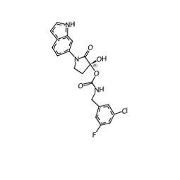 O=C(NCc1cc(F)cc(Cl)c1)O[C@]1(O)CCN(c2ccc3cc[nH]c3c2)C1=O